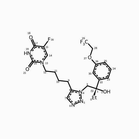 CC[C@@](O)(Cn1nncc1CCCCn1cc(F)c(=O)[nH]c1=O)c1cccc(OCC(F)(F)F)c1